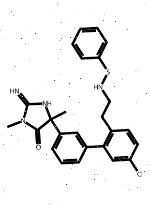 CN1C(=N)NC(C)(c2cccc(-c3cc(Cl)ccc3CCNSc3ccccc3)c2)C1=O